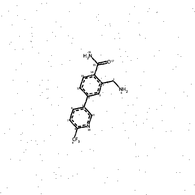 NCc1cc(-c2ccc(C(F)(F)F)nc2)ccc1C(N)=O